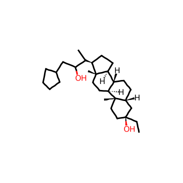 CC[C@]1(O)CC[C@@]2(C)[C@H](CC[C@@H]3[C@@H]2CC[C@]2(C)[C@@H](C(C)C(O)CC4CCCC4)CC[C@@H]32)C1